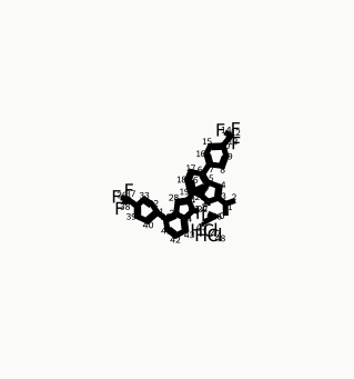 CC(C)C1=Cc2c(-c3ccc(C(F)(F)F)cc3)cccc2[CH]1[Hf]1([CH]2C(C(C)C)=Cc3c(-c4ccc(C(F)(F)F)cc4)cccc32)[CH2][CH2]1.Cl.Cl